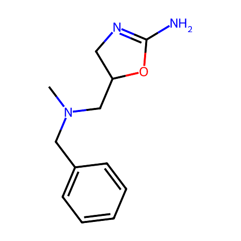 CN(Cc1ccccc1)CC1CN=C(N)O1